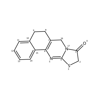 O=C1CSC2=NC3=C(CCc4ccccc43)CN12